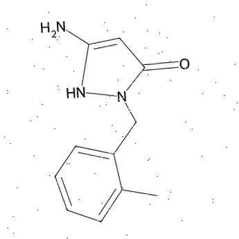 Cc1ccccc1Cn1[nH]c(N)cc1=O